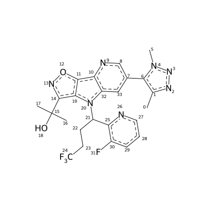 Cc1nnn(C)c1-c1cnc2c3onc(C(C)(C)O)c3n(C(CCC(F)(F)F)c3ncccc3F)c2c1